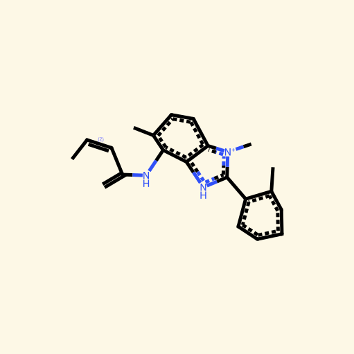 C=C(/C=C\C)Nc1c(C)ccc2c1[nH]c(-c1ccccc1C)[n+]2C